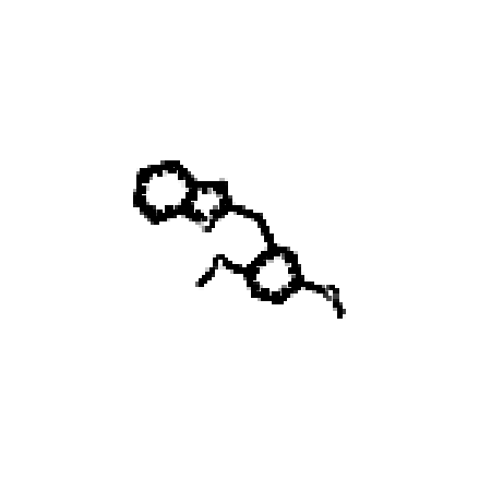 COc1ccc(OC)c(Cc2cc3ccccc3o2)c1